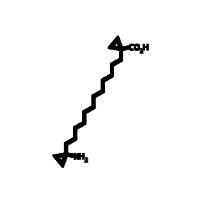 NC1(CCCCCCCCCCCCC2(C(=O)O)CC2)CC1